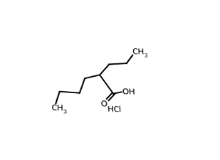 CCCCC(CCC)C(=O)O.Cl